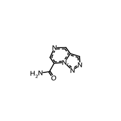 NC(=O)c1cncc2cnnn12